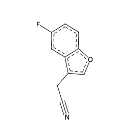 N#CCc1coc2ccc(F)cc12